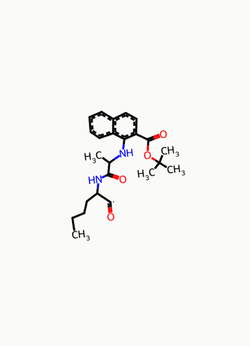 CCCCC([C]=O)NC(=O)C(C)Nc1c(C(=O)OC(C)(C)C)ccc2ccccc12